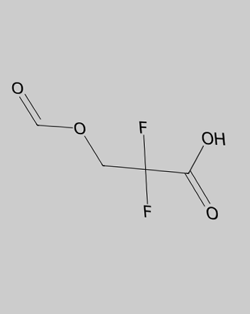 O=COCC(F)(F)C(=O)O